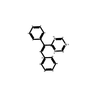 C(=C(c1ccccc1)c1ncncn1)c1ccccc1